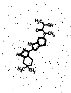 CC(O)C(=O)N(C)c1ccc2cc(-c3n[nH]c4c3CCC(C)(C)C4)[nH]c2c1